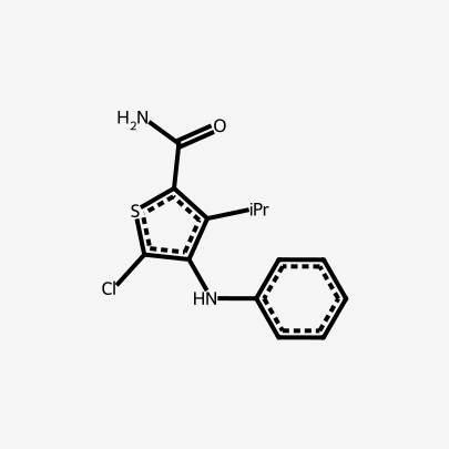 CC(C)c1c(C(N)=O)sc(Cl)c1Nc1ccccc1